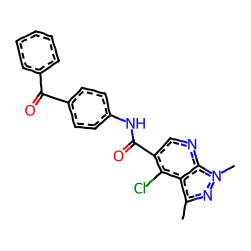 Cc1nn(C)c2ncc(C(=O)Nc3ccc(C(=O)c4ccccc4)cc3)c(Cl)c12